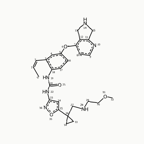 C/C=C\c1cc(Oc2ncnc3c2CNC3)ccc1NC(=O)Nc1cc(C2(CNCCOC)CC2)on1